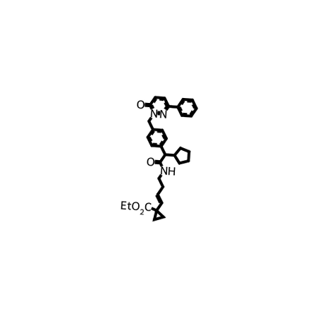 CCOC(=O)C1(C=CCCNC(=O)C(c2ccc(Cn3nc(-c4ccccc4)ccc3=O)cc2)C2CCCC2)CC1